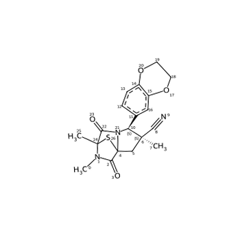 CN1C(=O)C23C[C@](C)(C#N)[C@H](c4ccc5c(c4)OCCO5)N2C(=O)C1(C)S3